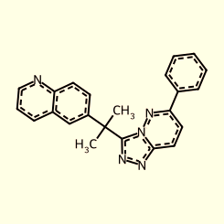 CC(C)(c1ccc2ncccc2c1)c1nnc2ccc(-c3ccccc3)nn12